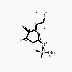 C=C1C(=CCCl)CC(O[Si](C)(C)C(C)(C)C)CC1F